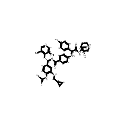 O=C(O[C@@H](Cc1c(Cl)cncc1Cl)c1ccc(OC(F)F)c(OCC2CC2)c1)c1ccc(NC(C(=O)O[C@H]2CN3CCC2CC3)c2ccc(F)cc2)cc1